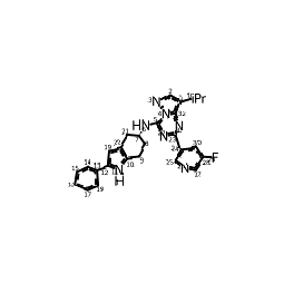 CC(C)c1cnn2c(N[C@@H]3CCc4[nH]c(-c5ccccc5)cc4C3)nc(-c3cncc(F)c3)nc12